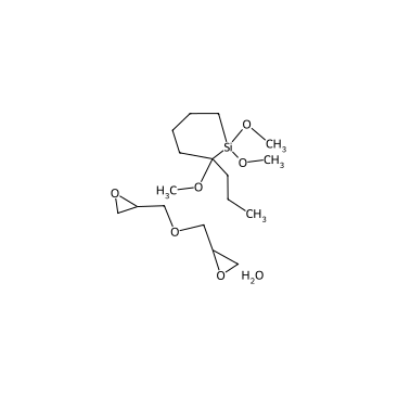 C(OCC1CO1)C1CO1.CCCC1(OC)CCCC[Si]1(OC)OC.O